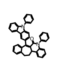 O=C1C2=C(c3ccc4c(c3)c3ccccc3n4-c3ccccc3)c3ccccc3CCC2c2ccccc2N1c1ccccc1